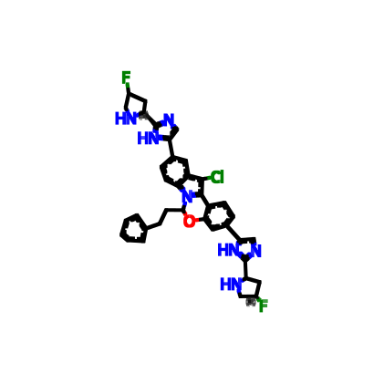 FC1CN[C@H](c2ncc(-c3ccc4c(c3)c(Cl)c3n4C(CCc4ccccc4)Oc4cc(-c5cnc(C6C[C@@H](F)CN6)[nH]5)ccc4-3)[nH]2)C1